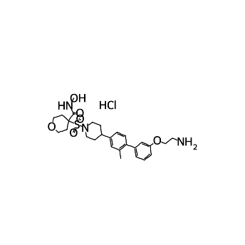 Cc1cc(C2CCN(S(=O)(=O)C3(C(=O)NO)CCOCC3)CC2)ccc1-c1cccc(OCCN)c1.Cl